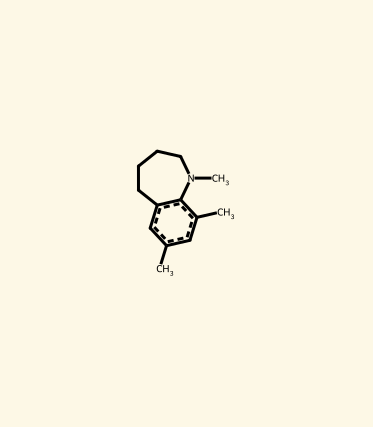 Cc1cc(C)c2c(c1)CCCCN2C